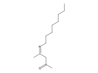 CCCCCCCCN=C(C)CC(C)=O